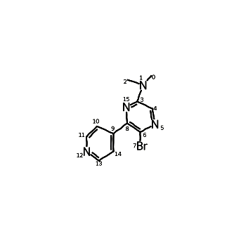 CN(C)c1cnc(Br)c(-c2ccncc2)n1